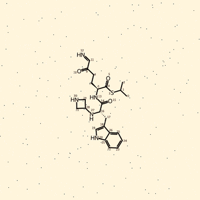 CC(C)SC(=O)[C@H](CCC(=O)C=N)NC(=O)[C@H](Cc1c[nH]c2ccccc12)NC1CNC1